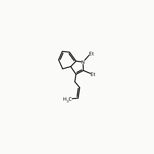 C/C=C\CC1=C(CC)N(CC)C2=CC=CCC21